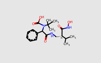 CC(C)[C@H](CNC(=O)C(c1ccccc1)N(C(=O)O)C(C)(C)C)C(=O)NO